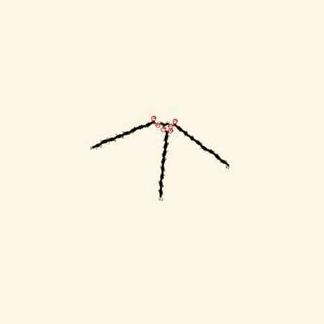 CC#CC#CC#CC#CC#CC#CC#CC#CC(=O)OCC(COC(=O)C#CC#CC#CC#CC#CC#CC#CC#CC)OC(=O)C#CC#CC#CC#CC#CC#CC#CC#CC